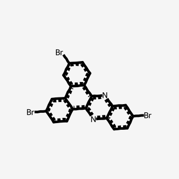 Brc1ccc2nc3c4ccc(Br)cc4c4cc(Br)ccc4c3nc2c1